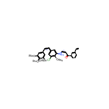 C=Cc1cccc(C(=O)/C=C\Nc2cc(/C=C\c3cc(OC)c(OC)c(OC)c3)cc(Cl)c2OC)c1